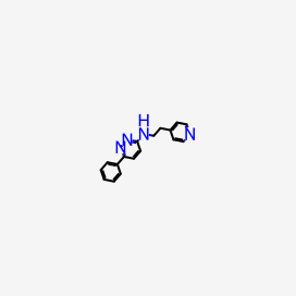 c1ccc(-c2ccc(NCCc3ccncc3)nn2)cc1